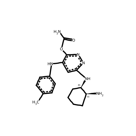 Cc1ccc(Nc2cc(N[C@@H]3CCCC[C@@H]3N)nnc2OC(N)=O)cc1